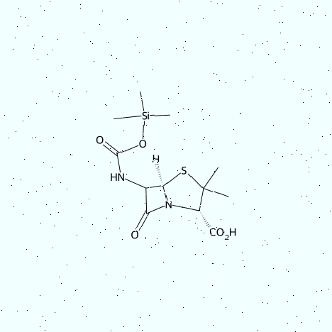 CC1(C)S[C@@H]2C(NC(=O)O[Si](C)(C)C)C(=O)N2[C@H]1C(=O)O